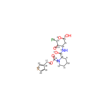 O=C(O)CC(NC(=O)C1CCCCN1C(=O)OCc1ccsc1)C(=O)CF